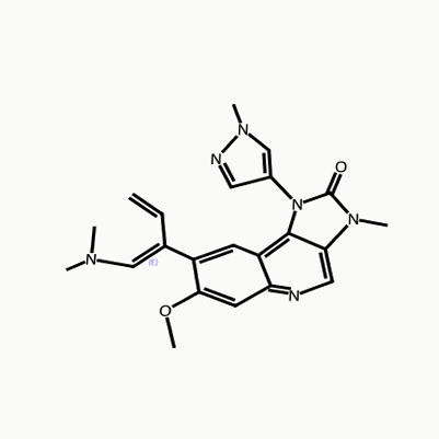 C=C/C(=C\N(C)C)c1cc2c(cc1OC)ncc1c2n(-c2cnn(C)c2)c(=O)n1C